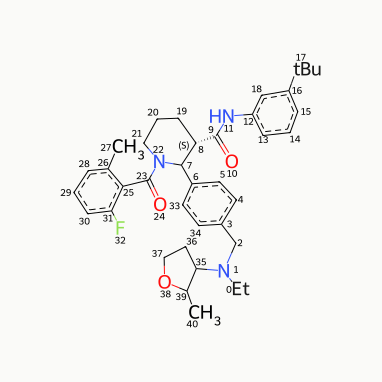 CCN(Cc1ccc(C2[C@@H](C(=O)Nc3cccc(C(C)(C)C)c3)CCCN2C(=O)c2c(C)cccc2F)cc1)C1CCOC1C